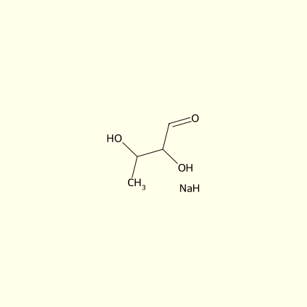 CC(O)C(O)C=O.[NaH]